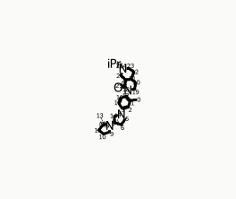 Cc1cc(N2CC[C@H](N3CCC[C@@H]3C)C2)ccc1N1CCC2CCN(C(C)C)CC2C1=O